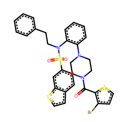 O=C(c1sccc1Br)N1CCN(c2ccccc2N(CCc2ccccc2)S(=O)(=O)c2ccc3ccsc3c2)CC1